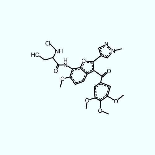 COc1cc(C(=O)c2c(-c3cnn(C)c3)oc3c(NC(=O)C(CO)NCl)c(OC)ccc23)cc(OC)c1OC